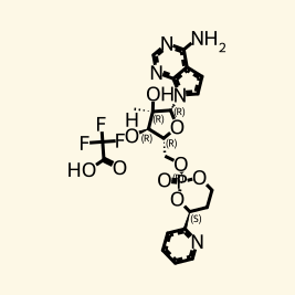 C[C@@]1(O)[C@H](O)[C@@H](CO[P@@]2(=O)OCC[C@@H](c3ccccn3)O2)O[C@H]1n1ccc2c(N)ncnc21.O=C(O)C(F)(F)F